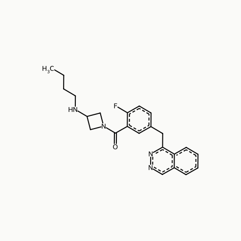 CCCCNC1CN(C(=O)c2cc(Cc3nncc4ccccc34)ccc2F)C1